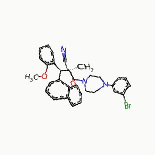 COc1ccccc1[C@H](c1cccc2ccccc12)[C@@](C)(C#N)C(=O)N1CCN(c2cccc(Br)c2)CC1